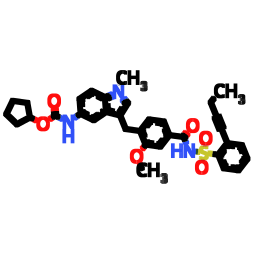 CCC#Cc1ccccc1S(=O)(=O)NC(=O)c1ccc(Cc2cn(C)c3ccc(NC(=O)OC4CCCC4)cc23)c(OC)c1